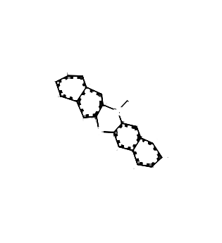 CN1c2cc3ccccc3cc2Oc2cc3ccccc3cc21